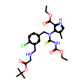 CCOC(=O)NC(=S)N(Cc1ccc(Cl)c(CNCC(=O)OC(C)(C)C)c1)c1c(C)c[nH]c1C(=O)OCC